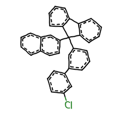 Clc1cccc(-c2cccc(C3(c4ccc5ccccc5c4)c4ccccc4-c4ccccc43)c2)c1